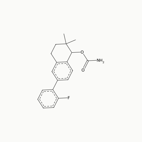 CC1(C)CCc2cc(-c3ccccc3F)ccc2C1OC(N)=O